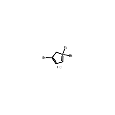 CCC1=CC=P(CC)(CC)C1.Cl